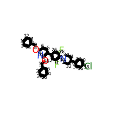 Fc1cc(-c2ccc(OCc3ccccc3)nc2OCc2ccccc2)cc(F)c1N1CCC(c2ccc(Cl)cc2)CC1